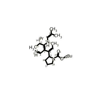 C/C=C(\C(C=N)=C(NC=C(C)C)[C@H](C)C(C)C)C1CCCN1C(=O)OC(C)(C)C